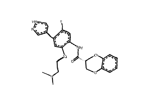 CN(C)CCOc1cc(-c2cn[nH]c2)c(F)cc1NC(=O)[C@H]1COc2ccccc2O1